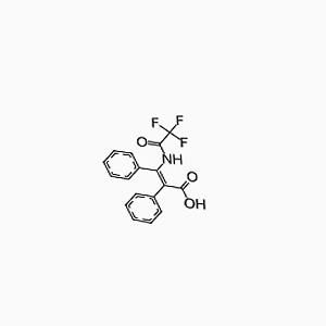 O=C(O)C(=C(NC(=O)C(F)(F)F)c1ccccc1)c1ccccc1